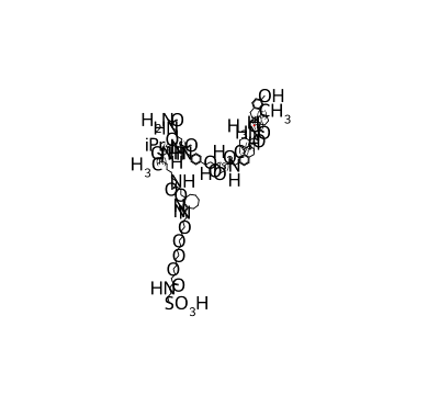 CC(C)[C@H](NC(=O)[C@H](C)CCCCNC(=O)COC1CCCCCc2c1nnn2CCOCCOCCOCCOCCC(=O)NCCS(=O)(=O)O)C(=O)N[C@@H](CCCNC(N)=O)C(=O)Nc1ccc(COC(=O)C[C@@H](CO)C(=O)Nc2ccc3c(c2)[C@@]2(C)CCCC(C(=O)NC(=O)[C@@]4(C)CCC[C@]5(C)c6cc(O)ccc6CC[C@@H]45)[C@@H]2CC3)cc1